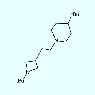 CC(C)(C)C1CCN(CCC2CN(C(C)(C)C)C2)CC1